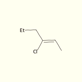 CC=C(Cl)CCC